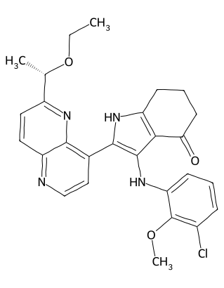 CCO[C@@H](C)c1ccc2nccc(-c3[nH]c4c(c3Nc3cccc(Cl)c3OC)C(=O)CCC4)c2n1